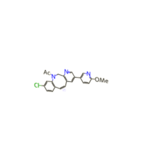 COc1ccc(-c2cnc3c(c2)/C=C\c2ccc(Cl)cc2N(C(C)=O)C3)cn1